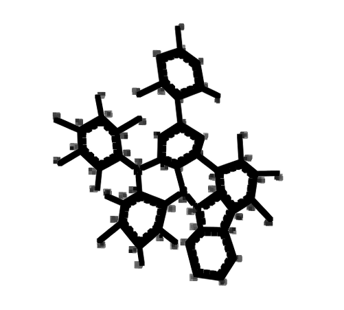 Cc1cc(C)c(-c2cc3c4c(c2)N(c2c(C)c(C)c(C)c(C)c2C)c2c(C)c(C)c(C)c(C)c2B4n2c4ccccc4c4c(C)c(C)c(C)c-3c42)c(C)c1